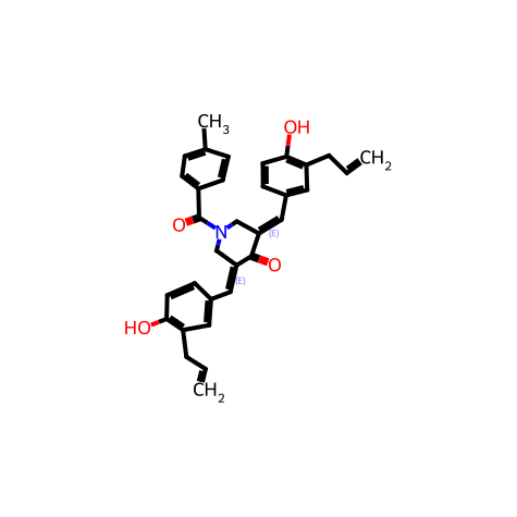 C=CCc1cc(/C=C2\CN(C(=O)c3ccc(C)cc3)C/C(=C\c3ccc(O)c(CC=C)c3)C2=O)ccc1O